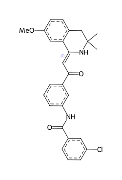 COc1ccc2c(c1)/C(=C/C(=O)c1cccc(NC(=O)c3cccc(Cl)c3)c1)NC(C)(C)C2